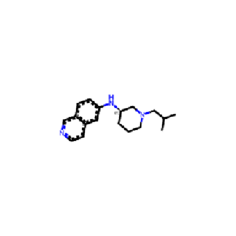 CC(C)CN1CCC[C@@H](Nc2ccc3cnccc3c2)C1